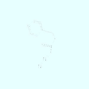 C[C@@H](Cc1ccccc1)C(=O)C=[N+]=[N-]